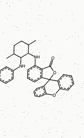 CC1CCC(C)C(Nc2cccc3c2C(=O)OC32c3ccccc3Oc3ccccc32)C1Nc1ccccc1